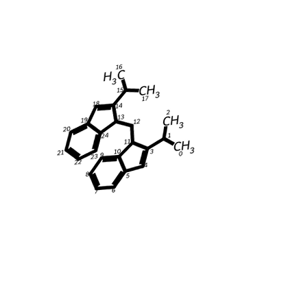 CC(C)C1=Cc2ccccc2C1CC1C(C(C)C)=Cc2ccccc21